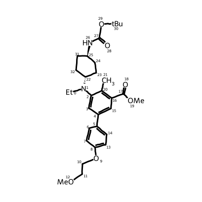 CCN(c1cc(-c2ccc(OCCOC)cc2)cc(C(=O)OC)c1C)[C@H]1CC[C@H](NC(=O)OC(C)(C)C)CC1